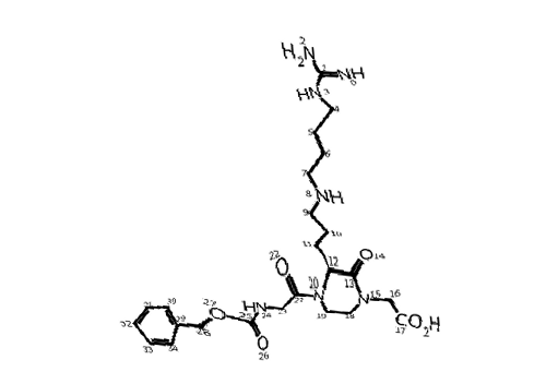 N=C(N)NCCCCNCCC[C@H]1C(=O)N(CC(=O)O)CCN1C(=O)CNC(=O)OCc1ccccc1